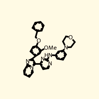 COc1cc(-c2nc3ccccn3c2-c2ccnc(Nc3cccc(N4CCOCC4)c3)n2)ccc1OCc1ccccc1